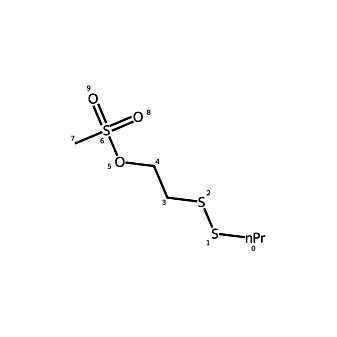 CCCSSCCOS(C)(=O)=O